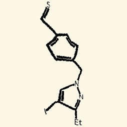 CCc1nn(Cc2ccc(C=S)cc2)cc1I